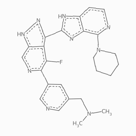 CN(C)Cc1cncc(-c2ncc3[nH]nc(-c4nc5c(N6CCCCC6)nccc5[nH]4)c3c2F)c1